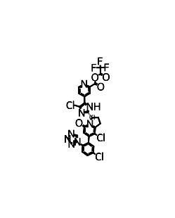 O=C(OC(=O)C(F)(F)F)c1cc(-c2[nH]c([C@@H]3CCc4c(Cl)c(-c5cc(Cl)ccc5-n5cnnn5)cc(=O)n43)nc2Cl)ccn1